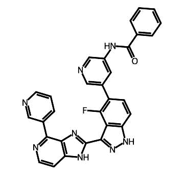 O=C(Nc1cncc(-c2ccc3[nH]nc(-c4nc5c(-c6cccnc6)nccc5[nH]4)c3c2F)c1)c1ccccc1